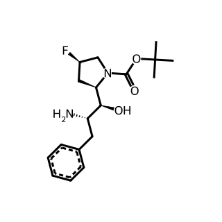 CC(C)(C)OC(=O)N1C[C@H](F)C[C@@H]1[C@@H](O)[C@@H](N)Cc1ccccc1